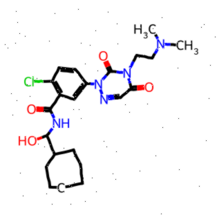 CN(C)CCn1c(=O)cnn(-c2ccc(Cl)c(C(=O)NC(O)C3CCCCCC3)c2)c1=O